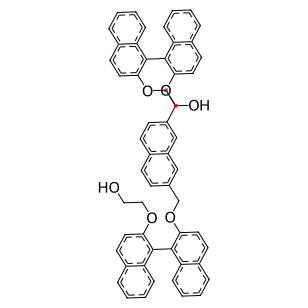 OCCOc1ccc2ccccc2c1-c1c(OCc2ccc3ccc(COc4ccc5ccccc5c4-c4c(OCCO)ccc5ccccc45)cc3c2)ccc2ccccc12